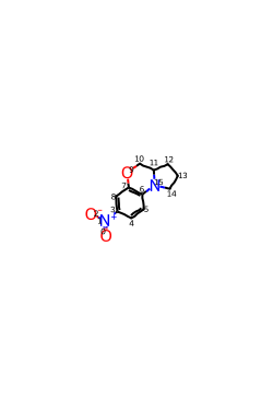 O=[N+]([O-])c1ccc2c(c1)OCC1CCCN21